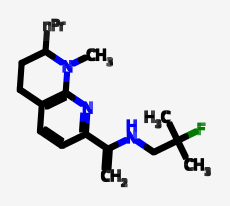 C=C(NCC(C)(C)F)c1ccc2c(n1)N(C)C(CCC)CC2